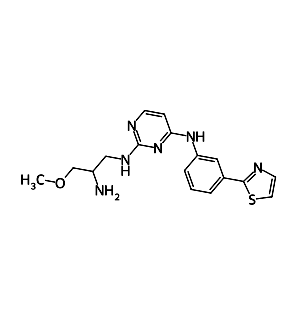 COCC(N)CNc1nccc(Nc2cccc(-c3nccs3)c2)n1